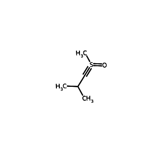 CC(C)C#S(C)=O